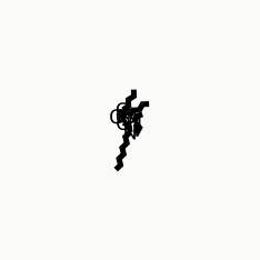 CCCCCCCN1C=CN(CC)C1OP(=O)(OCCCC)OCCCC